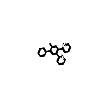 Cc1cc(-c2ccccn2)c(-c2ccccn2)cc1-c1ccccc1